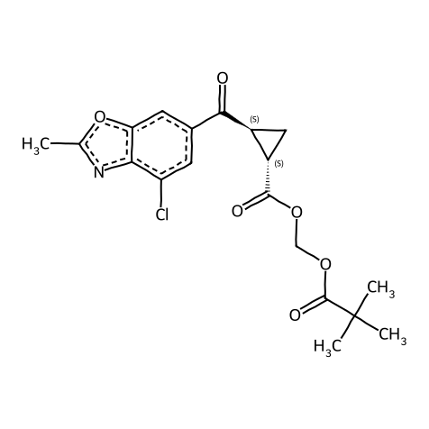 Cc1nc2c(Cl)cc(C(=O)[C@H]3C[C@@H]3C(=O)OCOC(=O)C(C)(C)C)cc2o1